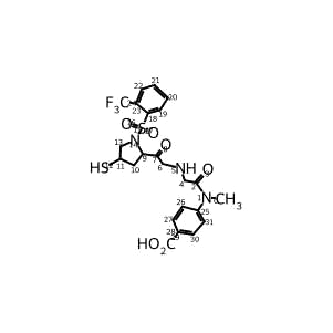 CN(C(=O)CNCC(=O)C1CC(S)CN1S(=O)(=O)c1ccccc1C(F)(F)F)c1ccc(C(=O)O)cc1